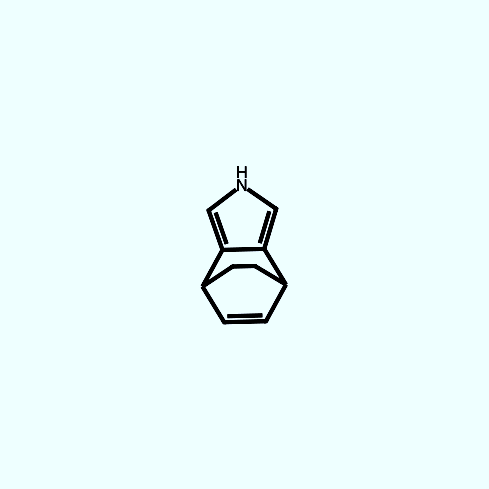 C1=CC2CCC1c1c[nH]cc12